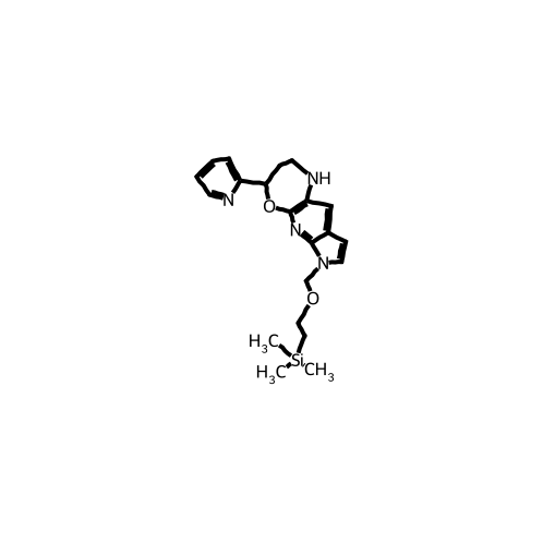 C[Si](C)(C)CCOCn1ccc2cc3c(nc21)OC(c1ccccn1)CCN3